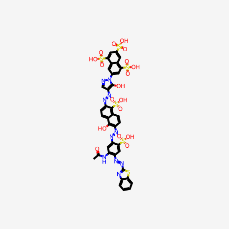 CC(=O)Nc1cc(N=Nc2ccc3c(S(=O)(=O)O)c(N=Nc4cnn(-c5cc(S(=O)(=O)O)c6cc(S(=O)(=O)O)cc(S(=O)(=O)O)c6c5)c4O)ccc3c2O)c(S(=O)(=O)O)cc1N=Nc1nc2ccccc2s1